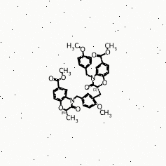 COC(=O)c1ccc2c(c1)N(Cc1ccc(OC)cc1)C(=O)[C@H](Cc1cc(CN3C(=O)[C@@H](C)Oc4ccc(C(=O)OC)cc43)ccc1OC)O2